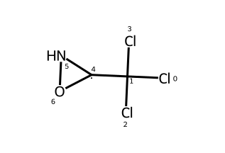 ClC(Cl)(Cl)[C]1NO1